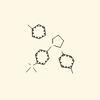 CCS(C)(C)c1ccc(N2[C@H](c3ccc([N+](=O)[O-])cc3)CC[C@H]2c2ccc([N+](=O)[O-])cc2)cc1